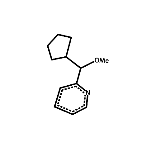 COC(c1ccccn1)C1CCCC1